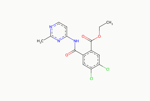 CCOC(=O)c1cc(Cl)c(Cl)cc1C(=O)Nc1ccnc(C)n1